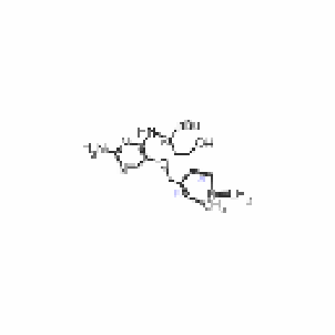 C=N/C=C\C(=C/C)COc1cnc(N)nc1N[C@H](CCO)CCCC